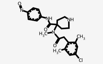 Cc1cc(Cl)cc(C)c1CC(=O)N(C)C1(C(=O)Nc2ccc(N=O)cc2)CCNCC1